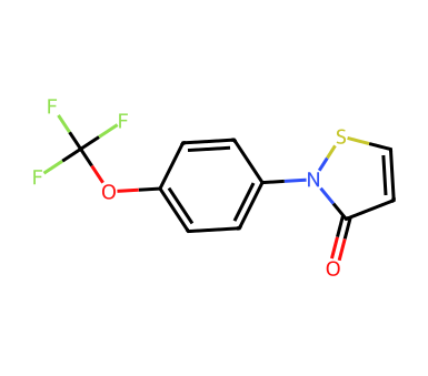 O=c1ccsn1-c1ccc(OC(F)(F)F)cc1